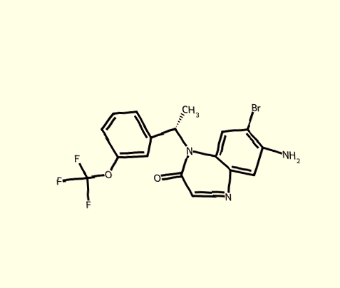 C[C@@H](c1cccc(OC(F)(F)F)c1)n1c(=O)cnc2cc(N)c(Br)cc21